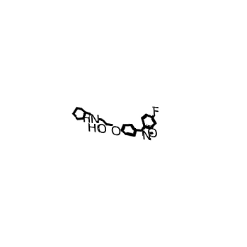 O[C@H](CNCC1CCCCC1)COc1ccc(-c2noc3cc(F)ccc23)cc1